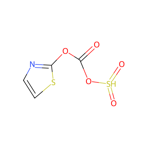 O=C(Oc1nccs1)O[SH](=O)=O